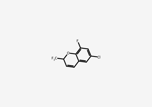 Fc1cc(Cl)cc2c1OC(C(F)(F)F)C=C2